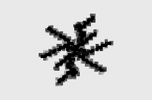 CCCCCCCCCCCCC(CCCCCCCCCC)CN1C(=O)C2=C(c3cc(CCCCCC)c(-c4ccc(-c5sccc5CCCCCC)s4)s3)N(CC(CCCCCCCCCC)CCCCCCCCCCCC)C(=O)C2=C1c1cc(CCCCCC)c(-c2ccc(-c3sccc3CCCCCC)s2)s1